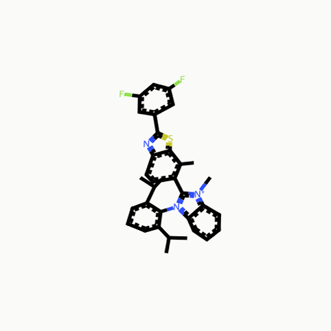 Cc1c(-c2n(-c3c(C(C)C)cccc3C(C)C)c3ccccc3[n+]2C)ccc2nc(-c3cc(F)cc(F)c3)sc12